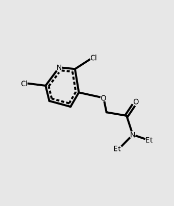 CCN(CC)C(=O)COc1ccc(Cl)nc1Cl